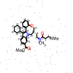 CNCCC(=O)N(C)CC[C@H]1COc2ccccc2-c2c(C3CCCCC3)c3ccc(C(=O)OC)cc3n2C1